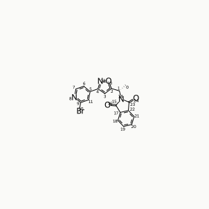 C[C@@H](c1cc(-c2ccnc(Br)c2)no1)N1C(=O)c2ccccc2C1=O